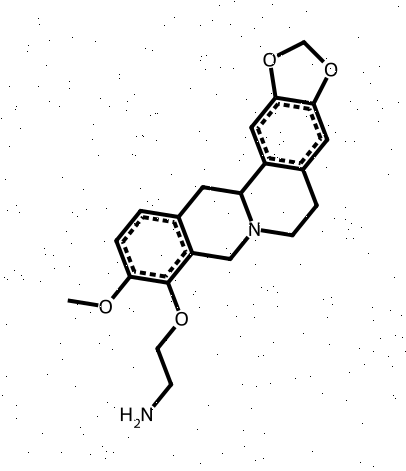 COc1ccc2c(c1OCCN)CN1CCc3cc4c(cc3C1C2)OCO4